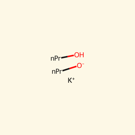 CCCO.CCC[O-].[K+]